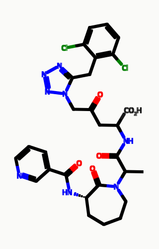 CC(C(=O)NC(CC(=O)Cn1nnnc1Cc1c(Cl)cccc1Cl)C(=O)O)N1CCCC[C@H](NC(=O)c2cccnc2)C1=O